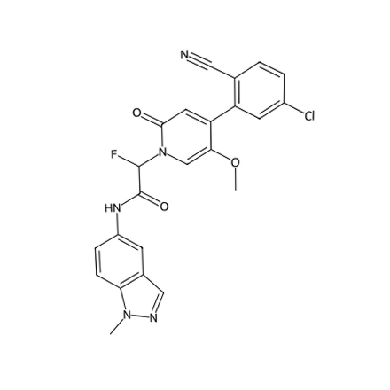 COc1cn(C(F)C(=O)Nc2ccc3c(cnn3C)c2)c(=O)cc1-c1cc(Cl)ccc1C#N